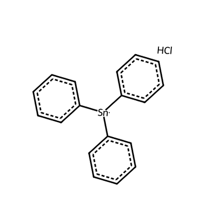 Cl.c1cc[c]([Sn]([c]2ccccc2)[c]2ccccc2)cc1